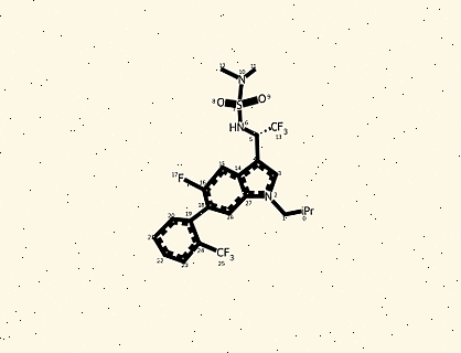 CC(C)Cn1cc([C@H](NS(=O)(=O)N(C)C)C(F)(F)F)c2cc(F)c(-c3ccccc3C(F)(F)F)cc21